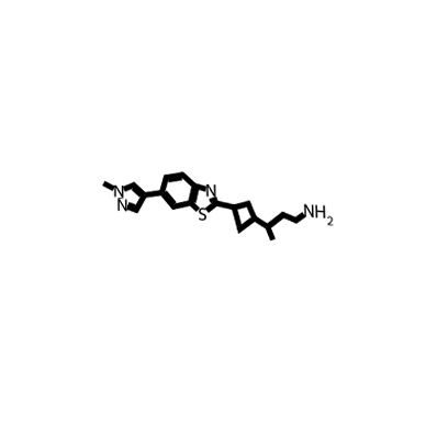 CC(CCN)C1CC(c2nc3ccc(-c4cnn(C)c4)cc3s2)C1